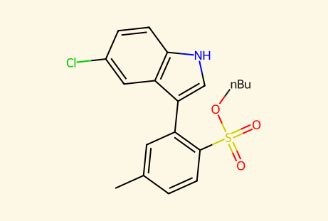 CCCCOS(=O)(=O)c1ccc(C)cc1-c1c[nH]c2ccc(Cl)cc12